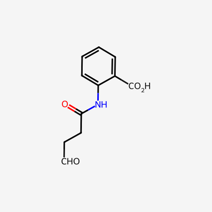 O=CCCC(=O)Nc1ccccc1C(=O)O